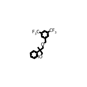 CC(CO)(COCc1cc(C(F)(F)F)cc(C(F)(F)F)c1)c1ccccc1